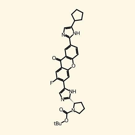 CC(C)(C)OC(=O)N1CCC[C@H]1c1ncc(-c2cc3oc4ccc(-c5ncc(C6CCCC6)[nH]5)cc4c(=O)c3cc2F)[nH]1